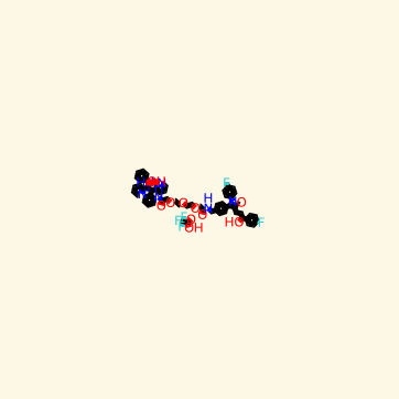 Nc1ncccc1C(c1ccccc1NC(=O)COCCOCCOCC(=O)NCc1ccc(C2C(CCC(O)c3ccc(F)cc3)C(=O)N2c2ccc(F)cc2)cc1)C(c1ccccn1)C(O)c1ccccc1.O=C(O)C(F)(F)F